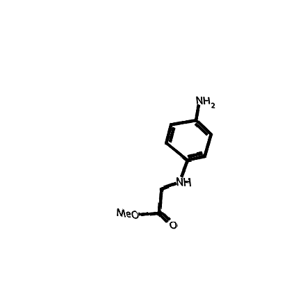 COC(=O)CNc1ccc(N)cc1